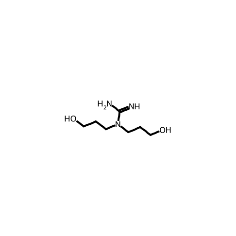 N=C(N)N(CCCO)CCCO